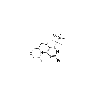 C[C@@H]1COCC2COc3c(nc(Br)nc3C(C)(C)S(C)(=O)=O)N21